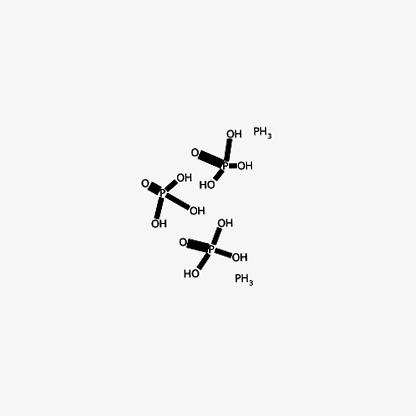 O=P(O)(O)O.O=P(O)(O)O.O=P(O)(O)O.P.P